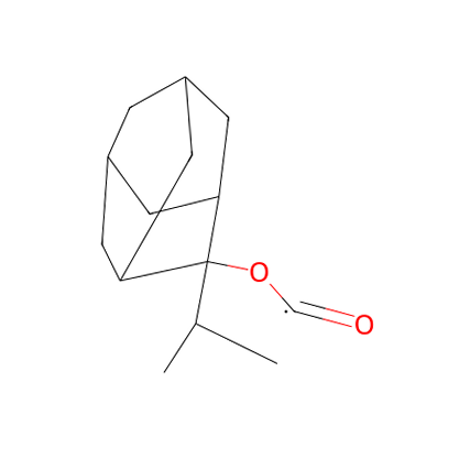 CC(C)C1(O[C]=O)C2CC3CC(C2)CC1C3